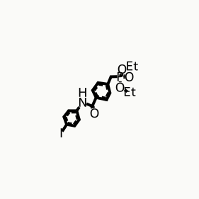 CCOP(=O)(Cc1ccc(C(=O)Nc2ccc(I)cc2)cc1)OCC